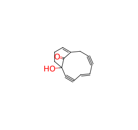 O=C1C2=CCCC1(O)C#C/C=C/C#CC2